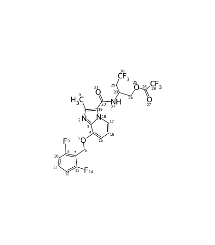 Cc1nc2c(OCc3c(F)cccc3F)cccn2c1C(=O)NC(COC(=O)C(F)(F)F)CC(F)(F)F